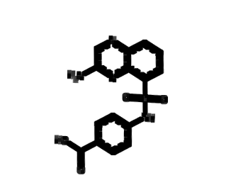 Nc1cnc2cccc(S(=O)(=O)Nc3ccc(C(=O)O)cc3)c2n1